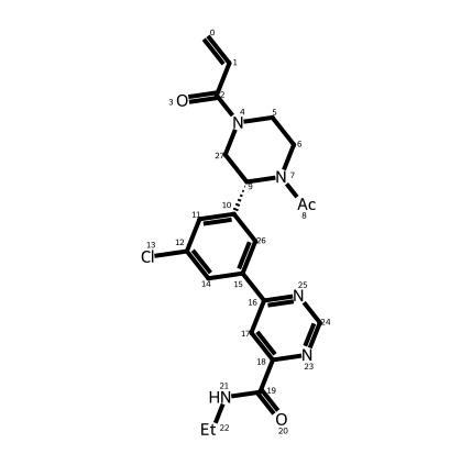 C=CC(=O)N1CCN(C(C)=O)[C@H](c2cc(Cl)cc(-c3cc(C(=O)NCC)ncn3)c2)C1